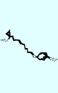 O=C(O)c1ccc(OCCCCCCCCCC2(C(=O)O)CC2)cc1